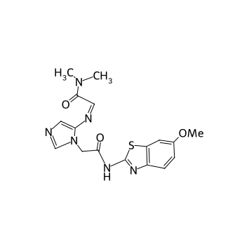 COc1ccc2nc(NC(=O)Cn3cncc3/N=C\C(=O)N(C)C)sc2c1